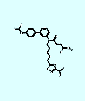 C=C(F)CCC(=O)N(CCCCCc1nc(C(F)F)no1)c1cccc(-c2ccc(OC(F)F)cc2)c1